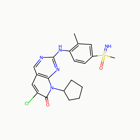 Cc1cc(S(C)(=N)=O)ccc1Nc1ncc2cc(Cl)c(=O)n(C3CCCC3)c2n1